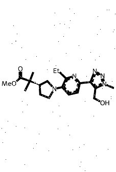 CCc1nc(-c2nnn(C)c2CO)ccc1N1CC[C@@H](C(C)(C)C(=O)OC)C1